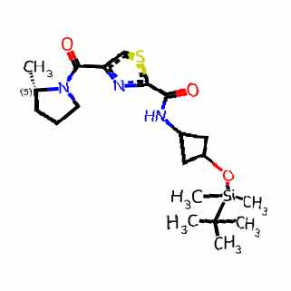 C[C@H]1CCCN1C(=O)c1csc(C(=O)NC2CC(O[Si](C)(C)C(C)(C)C)C2)n1